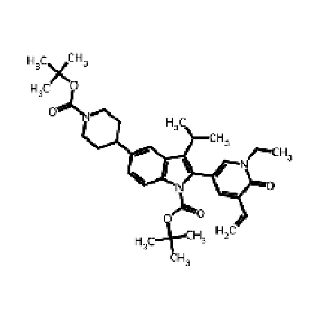 C=Cc1cc(-c2c(C(C)C)c3cc(C4CCN(C(=O)OC(C)(C)C)CC4)ccc3n2C(=O)OC(C)(C)C)cn(CC)c1=O